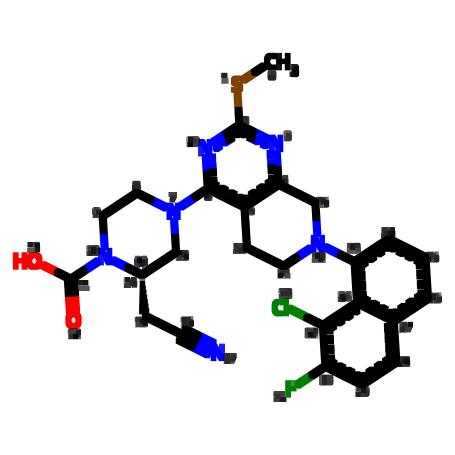 CSc1nc2c(c(N3CCN(C(=O)O)[C@@H](CC#N)C3)n1)CCN(c1cccc3ccc(F)c(Cl)c13)C2